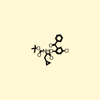 CC(C)(C)OC(=O)NC(CC1CC1)C(=O)Oc1ccc(Cl)cc1C(=O)c1ccccc1